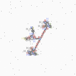 Cc1ncsc1-c1ccc(CNC(=O)[C@@H]2C[C@@H](OC(=O)OCC(C)(C)SS)CN2C(=O)[C@@H](NC(=O)CCCC(=O)N(CCOCCOCCOCCNC(=O)c2cc3c(cc2CS(C)(=O)=O)-c2cn(C)c(=O)c4[nH]cc(c24)CN3c2ncc(F)cc2F)CCOCCOCCOCCNC(=O)c2cc3c(cc2CS(C)(=O)=O)-c2cn(C)c(=O)c4[nH]cc(c24)CN3c2ncc(F)cc2F)C(C)(C)C)cc1